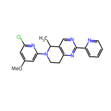 COc1cc(Cl)nc(N2CCc3nc(-c4ccccn4)ncc3C2C)c1